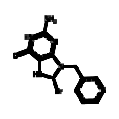 Nc1nc2c(c(=O)[nH]1)NC(Br)N2Cc1cccnc1